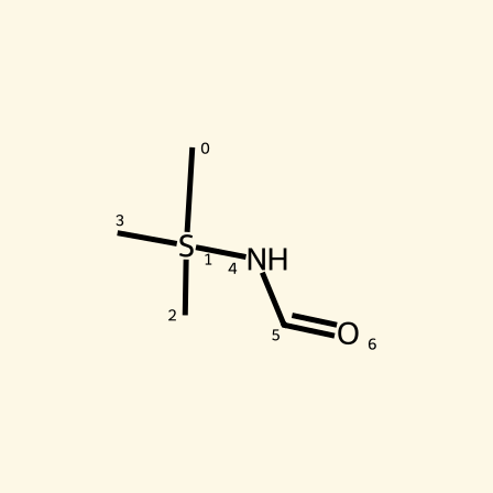 CS(C)(C)NC=O